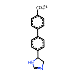 CCOC(=O)c1ccc(-c2ccc(C3CN=CN3)cc2)cc1